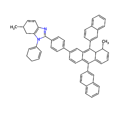 CC1C=Cc2nc(-c3ccc(-c4ccc5c(c4)=C(c4ccc6ccccc6c4)C4C(=CC=CC4C)C=5c4ccc5ccccc5c4)cc3)n(C3=CCCC=C3)c2C1